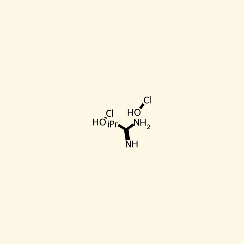 CC(C)C(=N)N.OCl.OCl